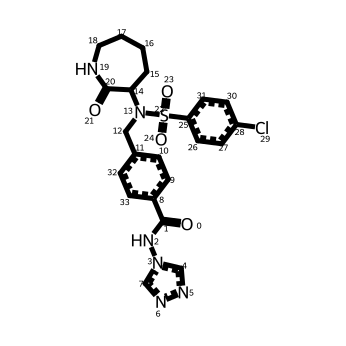 O=C(Nn1cnnc1)c1ccc(CN(C2CCCCNC2=O)S(=O)(=O)c2ccc(Cl)cc2)cc1